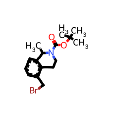 CC1c2cccc(CBr)c2CCN1C(=O)OC(C)(C)C